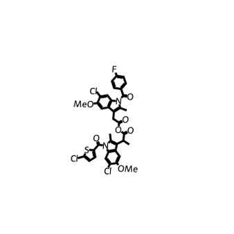 COc1cc2c(CC(=O)OC(=O)C(C)c3c(C)n(C(=O)c4ccc(Cl)s4)c4cc(Cl)c(OC)cc34)c(C)n(C(=O)c3ccc(F)cc3)c2cc1Cl